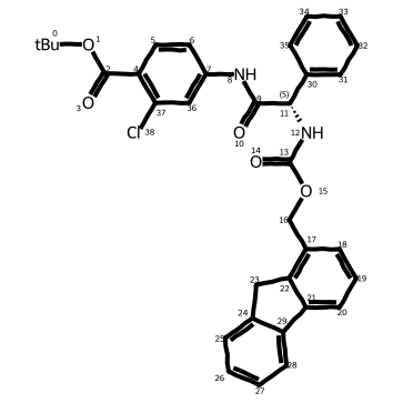 CC(C)(C)OC(=O)c1ccc(NC(=O)[C@@H](NC(=O)OCc2cccc3c2Cc2ccccc2-3)c2ccccc2)cc1Cl